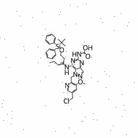 CCC[C@@H](CCO[Si](c1ccccc1)(c1ccccc1)C(C)(C)C)Nc1nc(NC(=O)O)nc2cnn(Cc3ncc(CCl)cc3OC)c12